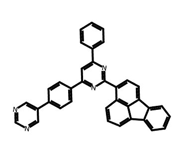 c1ccc(-c2cc(-c3ccc(-c4cncnc4)cc3)nc(-c3ccc4c5c(cccc35)-c3ccccc3-4)n2)cc1